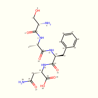 C[C@H](NC(=O)[C@@H](N)CO)C(=O)N[C@@H](Cc1ccccc1)C(=O)N[C@@H](CC(N)=O)C(=O)O